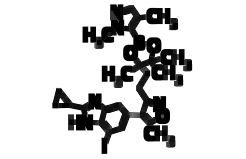 Cc1cnn(C)c1B1OC(C)(C)C(C)(CCc2noc(C)c2-c2cc(I)c3[nH]c(C4CC4)nc3c2)O1